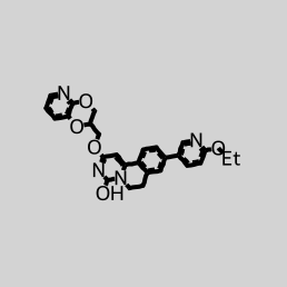 CCOc1ccc(-c2ccc3c(c2)CCN2C3=CC(OCC3COc4ncccc4O3)=NC2O)cn1